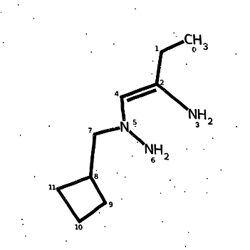 CC/C(N)=C/N(N)CC1CCC1